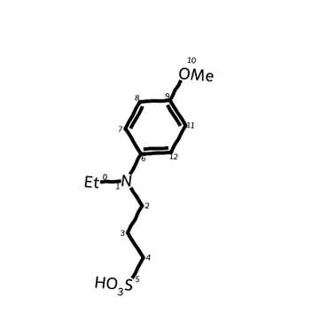 CCN(CCCS(=O)(=O)O)c1ccc(OC)cc1